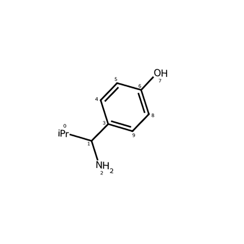 CC(C)C(N)c1ccc(O)cc1